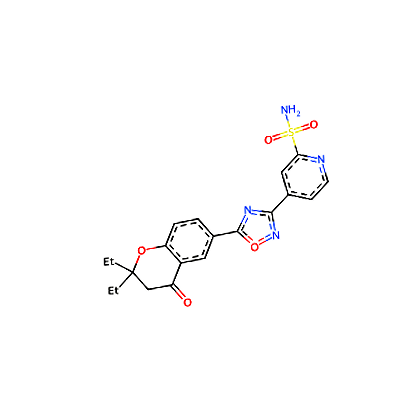 CCC1(CC)CC(=O)c2cc(-c3nc(-c4ccnc(S(N)(=O)=O)c4)no3)ccc2O1